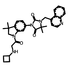 CC1(C)CN(C(=O)CNC2CCC2)c2cc(N3C(=O)N(Cc4ccnc5ccccc45)C(C)(C)C3=O)ccc21